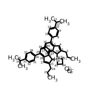 CCCC1=Cc2c(-c3ccc(C(C)C)cc3)cccc2[CH]1[Hf+2]1([CH]2C(CCC)=Cc3c(-c4ccc(C(C)C)cc4)cccc32)[CH2]C[CH2]1.[Cl-].[Cl-]